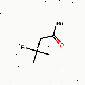 CCC(C)C(=O)CC(C)(C)CC